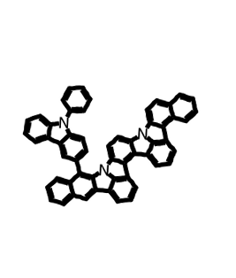 c1ccc(-n2c3ccccc3c3cc(-c4c5ccccc5cc5c6cccc7c8c9c%10cccc%11c%12c%13ccccc%13ccc%12n(c9ccc8n(c45)c67)c%11%10)ccc32)cc1